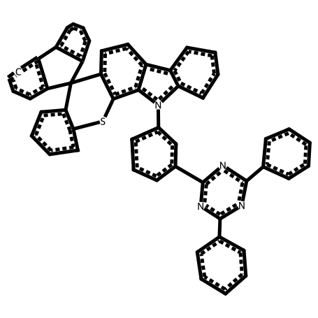 c1ccc(-c2nc(-c3ccccc3)nc(-c3cccc(-n4c5ccccc5c5ccc6c(c54)Sc4ccccc4C64c5ccccc5-c5ccccc54)c3)n2)cc1